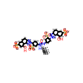 O=C(Nc1ccc(-n2nc3ccc4cc(S(=O)(=O)[O-])cc(O)c4c3n2)c(S(=O)(=O)[O-])c1)Nc1ccc(-n2nc3ccc4cc(S(=O)(=O)[O-])cc(O)c4c3n2)c(S(=O)(=O)[O-])c1.[Na+].[Na+].[Na+].[Na+]